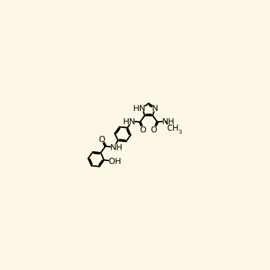 CNC(=O)c1nc[nH]c1C(=O)Nc1ccc(NC(=O)c2ccccc2O)cc1